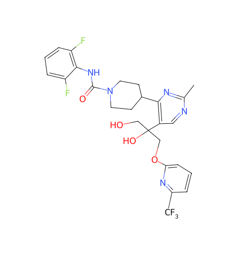 Cc1ncc(C(O)(CO)COc2cccc(C(F)(F)F)n2)c(C2CCN(C(=O)Nc3c(F)cccc3F)CC2)n1